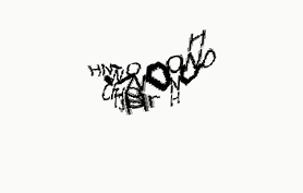 Br.O=C1CCC(Nc2cccc(NC(=O)CN3CCNCC3C(F)(F)F)c2)C(=O)N1